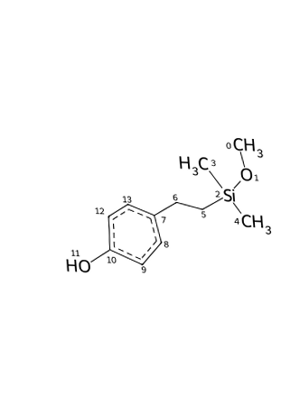 CO[Si](C)(C)CCc1ccc(O)cc1